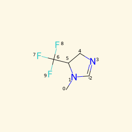 CN1[C]=NCC1C(F)(F)F